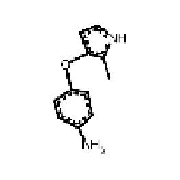 Cc1[nH]ccc1Oc1ccc(N)cc1